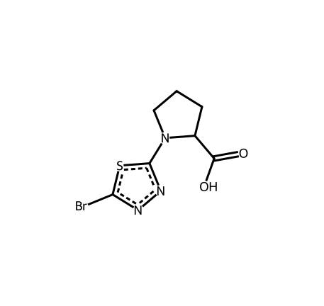 O=C(O)C1CCCN1c1nnc(Br)s1